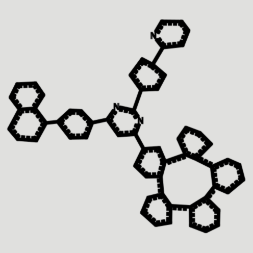 c1ccc(-c2ccc(-c3nc(-c4ccc(-c5cccc6ccccc56)cc4)cc(-c4ccc5c6ccccc6c6ccccc6c6ccccc6c6ccccc6c5c4)n3)cc2)nc1